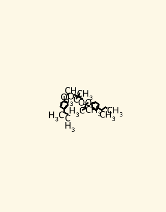 CCC(C)c1ccc(OC(C)OCC(C)(C)COC(Oc2ccc(C(C)CC)cc2)C(C)C)cc1